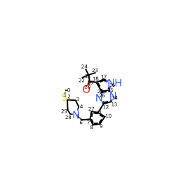 CSC1CCN(Cc2cccc(-c3cnc4[nH]cc(C(=O)C(C)(C)C)c4n3)c2)CC1